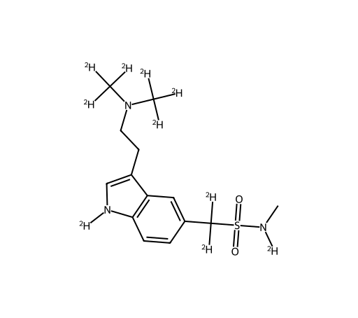 [2H]N(C)S(=O)(=O)C([2H])([2H])c1ccc2c(c1)c(CCN(C([2H])([2H])[2H])C([2H])([2H])[2H])cn2[2H]